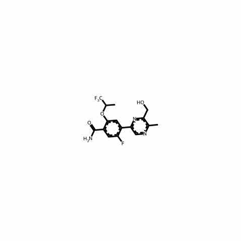 Cc1ncc(-c2cc(OC(C)C(F)(F)F)c(C(N)=O)cc2F)nc1CO